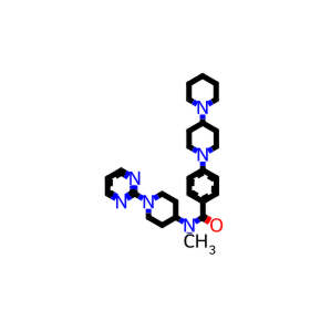 CN(C(=O)c1ccc(N2CCC(N3CCCCC3)CC2)cc1)C1CCN(c2ncccn2)CC1